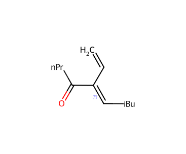 C=C/C(=C\C(C)CC)C(=O)CCC